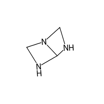 C1NC2NCN12